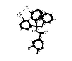 Cc1ccc(C(=O)NC(Cc2ccccc2)(c2cccc(C(F)(F)F)c2)c2cccc(C(F)(F)F)c2)cc1C